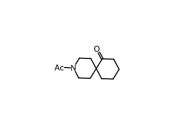 CC(=O)N1CCC2(CCCCC2=O)CC1